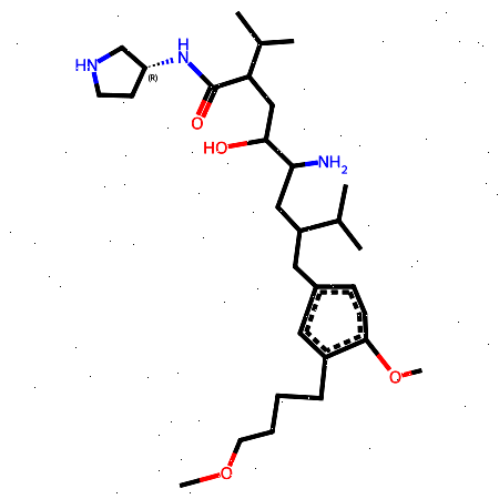 COCCCCc1cc(CC(CC(N)C(O)CC(C(=O)N[C@@H]2CCNC2)C(C)C)C(C)C)ccc1OC